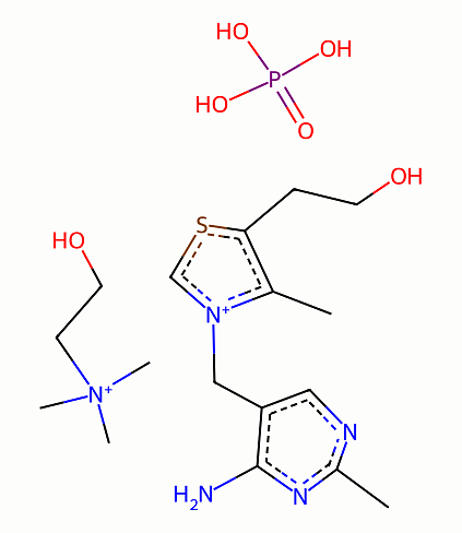 C[N+](C)(C)CCO.Cc1ncc(C[n+]2csc(CCO)c2C)c(N)n1.O=P(O)(O)O